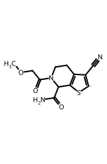 COCC(=O)N1CCc2c(C#N)[c]sc2C1C(N)=O